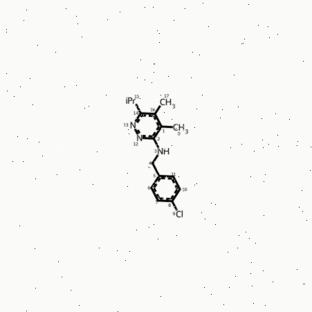 Cc1c(NCc2ccc(Cl)cc2)nnc(C(C)C)c1C